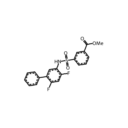 COC(=O)c1cccc(S(=O)(=O)Nc2cc(-c3ccccc3)c(F)cc2F)c1